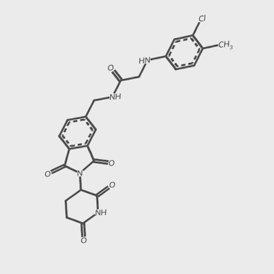 Cc1ccc(NCC(=O)NCc2ccc3c(c2)C(=O)N(C2CCC(=O)NC2=O)C3=O)cc1Cl